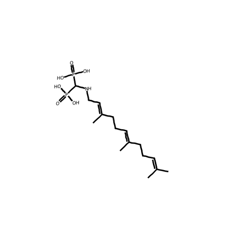 CC(C)=CCC/C(C)=C/CC/C(C)=C/CNC(P(=O)(O)O)P(=O)(O)O